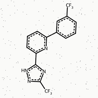 FC(F)(F)c1cccc(-c2cccc(-c3nc(C(F)(F)F)n[nH]3)n2)c1